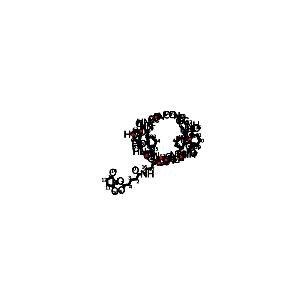 O=C(CCCC(=O)ON1C(=O)CCC1=O)NCCCCC1CN2CCNC(=O)c3cccc(c3O)C(=O)NCCN3CCNC(=O)c4cccc(c4O)C(=O)NCCN(CCNC(=O)c4cccc(c4O)C(=O)NCCN(CCNC(=O)c4cccc(c4O)C(=O)N1)CC3)CC2